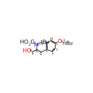 CCCCOc1ccc(C[C@@H](CO)N(C(=O)O)C(C)(C)C)cc1